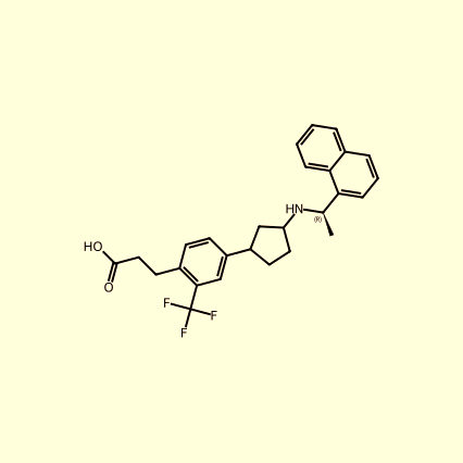 C[C@@H](NC1CCC(c2ccc(CCC(=O)O)c(C(F)(F)F)c2)C1)c1cccc2ccccc12